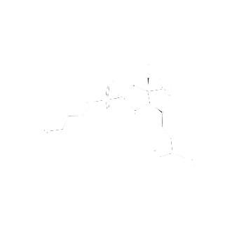 NCCCOS(=O)(=O)N1C[C@H](CCCB(O)O)[C@](N)(C(=O)O)C1